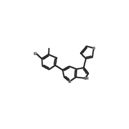 Cc1cc(-c2cnc3[nH]cc(-c4ccoc4)c3c2)ccc1Cl